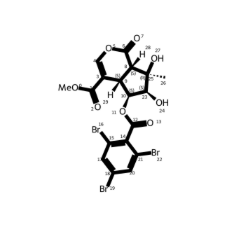 COC(=O)C1=COC(=O)[C@H]2[C@@H]1[C@H](OC(=O)c1c(Br)cc(Br)cc1Br)[C@H](O)[C@]2(C)O